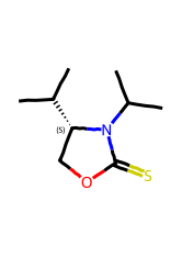 CC(C)[C@H]1COC(=S)N1C(C)C